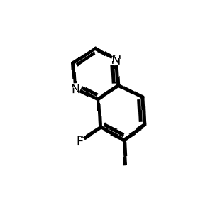 Cc1ccc2nccnc2c1F